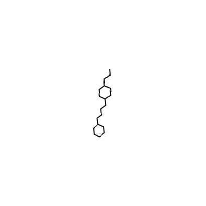 CCCC1CCC(CCCCC2CCCCC2)CC1